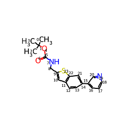 CC(C)(C)OC(=O)NCc1cc2ccc(-c3cccnc3)cc2s1